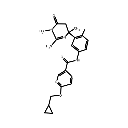 CN1C(=O)CC(C)(c2cc(NC(=O)c3cnc(OCC4CC4)cn3)ccc2F)N=C1N